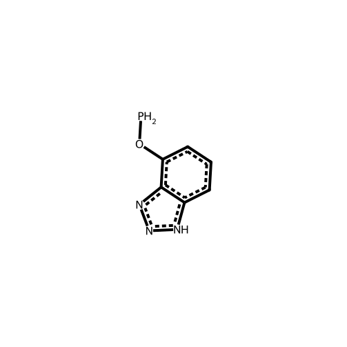 POc1cccc2[nH]nnc12